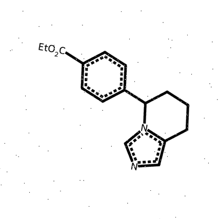 CCOC(=O)c1ccc(C2CCCc3cncn32)cc1